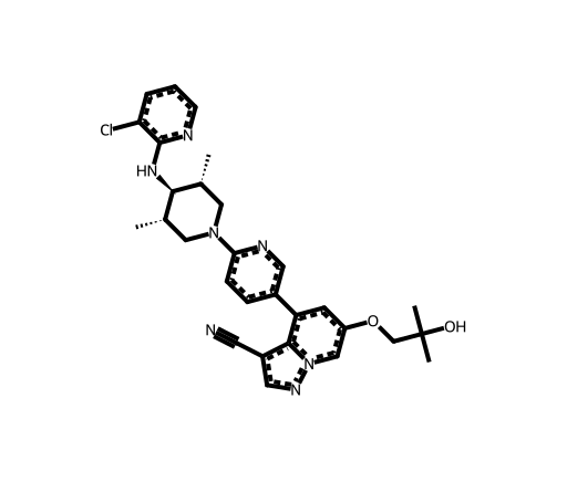 C[C@@H]1CN(c2ccc(-c3cc(OCC(C)(C)O)cn4ncc(C#N)c34)cn2)C[C@H](C)[C@H]1Nc1ncccc1Cl